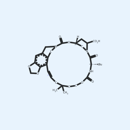 CC1(C)C/C=C\c2c3c(cc4c2OCO4)CN(C3)C(=O)O[C@@H]2CC(C(=O)O)N(C2)C(=O)[C@H](C(C)(C)C)NC(=O)OCC1